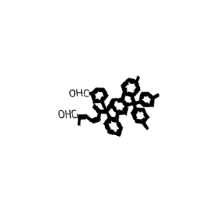 C=C(/C=C\C=C(/C)C=O)C1(c2cccc(C=O)c2)c2ccccc2-c2cc3c(cc21)-c1ccc(C)cc1C3(c1ccc(C)cc1)c1ccc(C)cc1